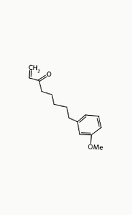 C=CC(=O)CCCCCc1cccc(OC)c1